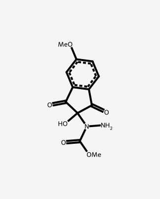 COC(=O)N(N)C1(O)C(=O)c2ccc(OC)cc2C1=O